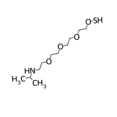 CC(C)NCCOCCOCCOCCOS